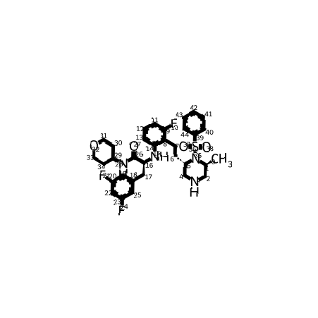 C[C@H]1CNC[C@H](CCc2c(F)cccc2N[C@@H](Cc2cc(F)cc(F)c2)C(=O)NC2CCOCC2)N1S(=O)(=O)c1ccccc1